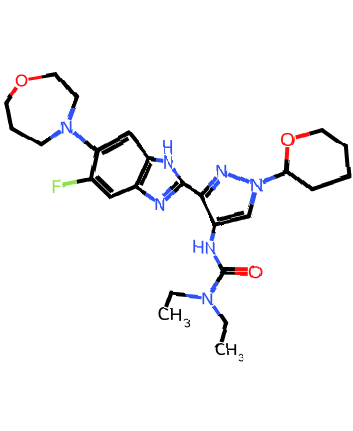 CCN(CC)C(=O)Nc1cn(C2CCCCO2)nc1-c1nc2cc(F)c(N3CCCOCC3)cc2[nH]1